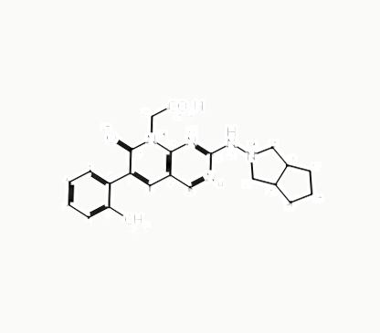 Cc1ccccc1-c1cc2cnc(NN3CC4CCCC4C3)nc2n(CC(=O)O)c1=O